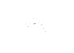 COc1ccc(/C=C2\SC(=S)CC2=O)cc1C#Cc1ccccc1